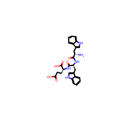 N[C@@H](Cc1c[nH]c2ccccc12)C(=O)N[C@@H](Cc1c[nH]c2ccccc12)C(=O)N[C@@H](CCC(=O)O)C(=O)O